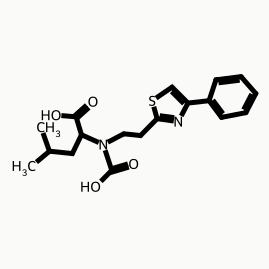 CC(C)CC(C(=O)O)N(CCc1nc(-c2ccccc2)cs1)C(=O)O